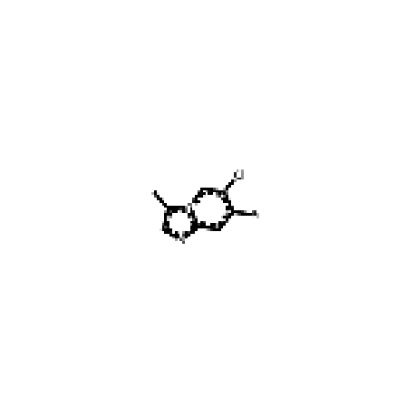 Cc1cnc2cc(Br)c(Cl)cn12